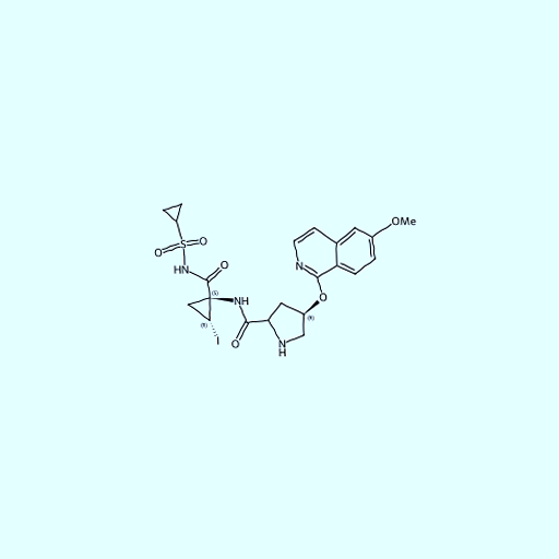 COc1ccc2c(O[C@H]3CNC(C(=O)N[C@]4(C(=O)NS(=O)(=O)C5CC5)C[C@H]4I)C3)nccc2c1